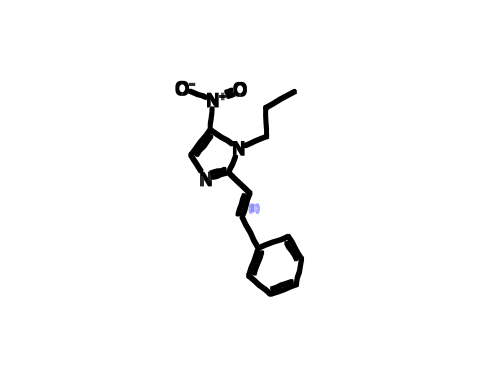 CCCn1c([N+](=O)[O-])cnc1/C=C/c1ccccc1